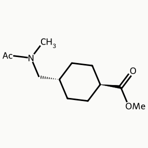 COC(=O)[C@H]1CC[C@H](CN(C)C(C)=O)CC1